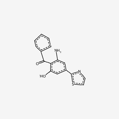 Nc1cc(-c2nccs2)cc(O)c1C(=O)c1ccccc1